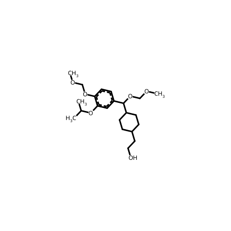 COCOc1ccc(C(OCOC)C2CCC(CCO)CC2)cc1OC(C)C